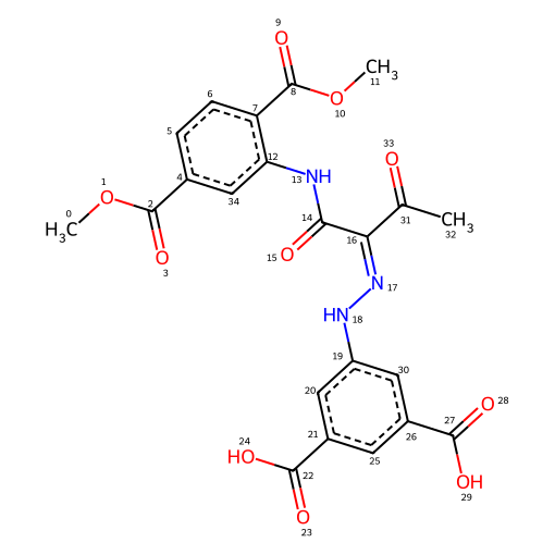 COC(=O)c1ccc(C(=O)OC)c(NC(=O)/C(=N\Nc2cc(C(=O)O)cc(C(=O)O)c2)C(C)=O)c1